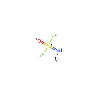 N=S(=O)(F)F.[Li]